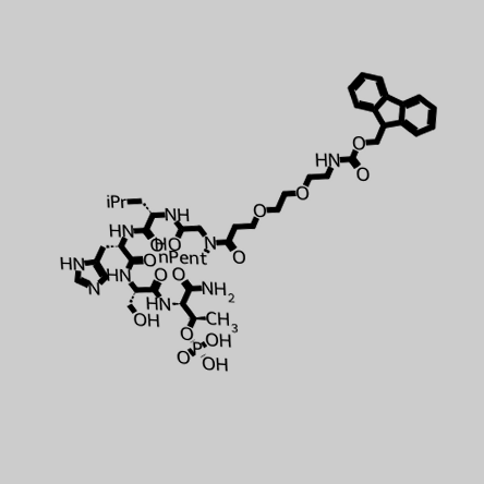 CCCCCN(CC(O)N[C@@H](CC(C)C)C(=O)N[C@@H](Cc1cnc[nH]1)C(=O)N[C@@H](CO)C(=O)N[C@H](C(N)=O)[C@@H](C)OP(=O)(O)O)C(=O)CCOCCOCCNC(=O)OCC1c2ccccc2-c2ccccc21